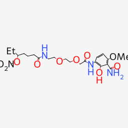 CCC(CCCC(=O)NCCOCCOCC(=O)Nc1ccc(OC)c(C(N)=O)c1O)O[N+](=O)[O-]